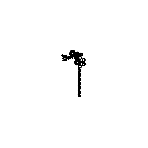 CCCCCCCCCCCCCCOc1cccc(OP(=O)(O)Oc2cccc(C[n+]3csc(C)c3)c2)c1C(=O)OC